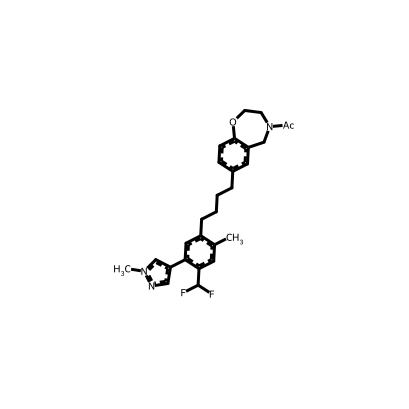 CC(=O)N1CCOc2ccc(CCCCc3cc(-c4cnn(C)c4)c(C(F)F)cc3C)cc2C1